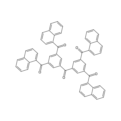 O=C(c1cc(C(=O)c2cccc3ccccc23)cc(C(=O)c2cccc3ccccc23)c1)c1cc(C(=O)c2cccc3ccccc23)cc(C(=O)c2cccc3ccccc23)c1